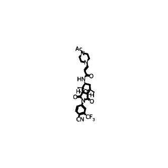 CC(=O)N1CCN(/C=C/C(=O)N[C@@H]2C[C@@]3(C)O[C@]2(C)[C@@H]2C(=O)N(c4ccc(C#N)c(C(F)(F)F)c4)C(=O)[C@@H]23)CC1